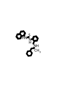 CC(CC1CCCCC1)NCc1ccccc1NC(=S)Nc1cccc2ccccc12